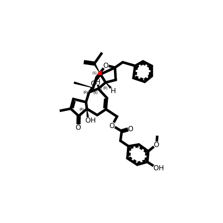 C=C(C)[C@]12C[C@@H](C)[C@@]34OCC(Cc5ccccc5)(C[C@@H]1[C@@H]3C=C(COC(=O)Cc1ccc(O)c(OC)c1)C[C@]1(O)C(=O)C(C)=CC41)O2